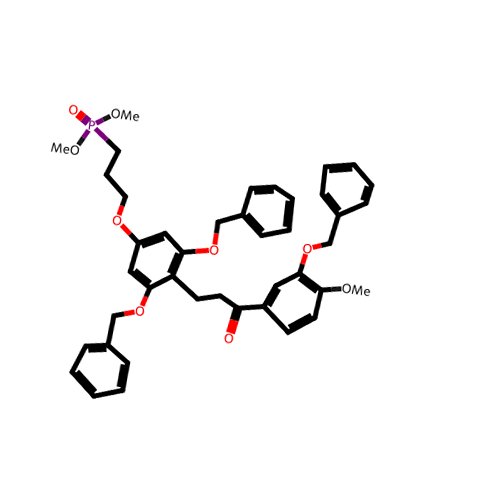 COc1ccc(C(=O)CCc2c(OCc3ccccc3)cc(OCCCP(=O)(OC)OC)cc2OCc2ccccc2)cc1OCc1ccccc1